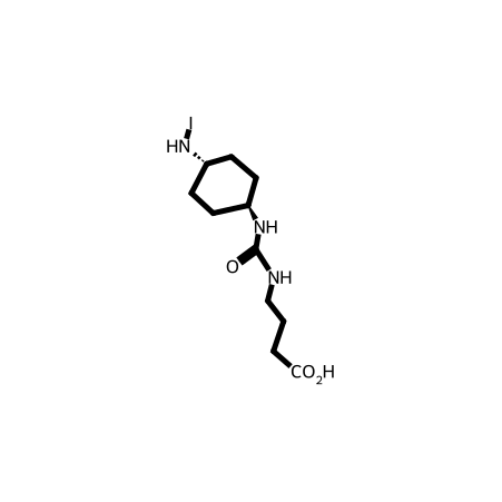 O=C(O)CCCNC(=O)N[C@H]1CC[C@H](NI)CC1